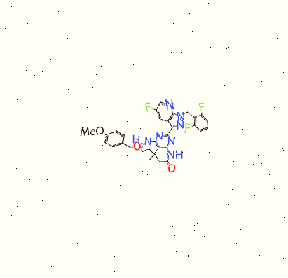 COc1ccc(COCCC2(C)CC(=O)Nc3nc(-c4nn(Cc5c(F)cccc5F)c5ncc(F)cc45)nc(N)c32)cc1